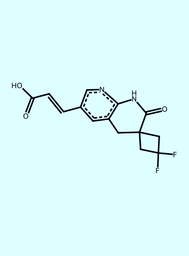 O=C(O)/C=C/c1cnc2c(c1)CC1(CC(F)(F)C1)C(=O)N2